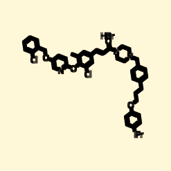 Br.Cc1cc(C=CC(=O)N2CCN(Cc3ccc(CCCOc4ccc(C(C)C)cc4)cc3)CC2)cc(Cl)c1Oc1ccc(OCc2ccccc2Cl)cn1